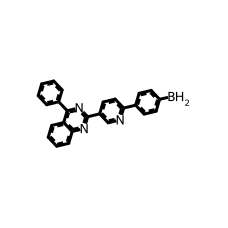 Bc1ccc(-c2ccc(-c3nc(-c4ccccc4)c4ccccc4n3)cn2)cc1